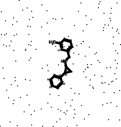 Cc1cccc(CNC2CC2c2ccccc2)n1